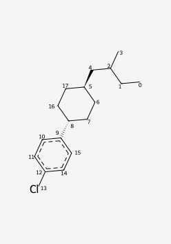 CCC(C)C[C@H]1CC[C@H](c2ccc(Cl)cc2)CC1